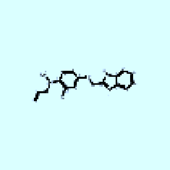 C=CCN(C(C)=O)c1ccc(OCc2nc3ccccc3s2)cc1C